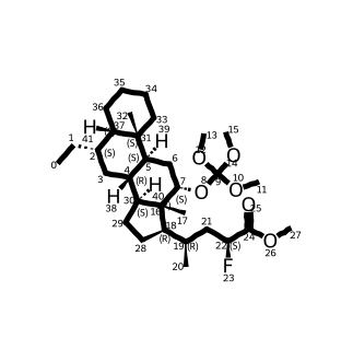 CC[C@H]1C[C@@H]2[C@H](C[C@H](OC(OC)(OC)OC)[C@]3(C)[C@@H]([C@H](C)C[C@H](F)C(=O)OC)CC[C@@H]23)[C@@]2(C)CCCC[C@@H]12